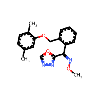 CON=C(c1nnco1)c1ccccc1COc1cc(C)ccc1C